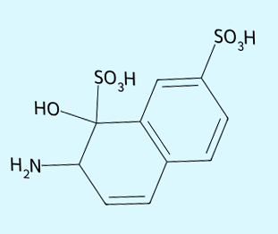 NC1C=Cc2ccc(S(=O)(=O)O)cc2C1(O)S(=O)(=O)O